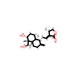 C=C1CC[C@@H]2[C@](C)(CO)[C@H](O)CC[C@@]2(C)[C@@H]1C/C=C1/C(=O)OC[C@H]1C